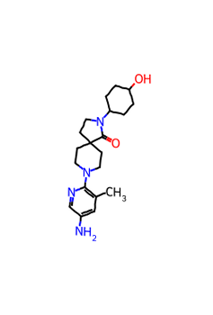 Cc1cc(N)cnc1N1CCC2(CC1)CCN(C1CCC(O)CC1)C2=O